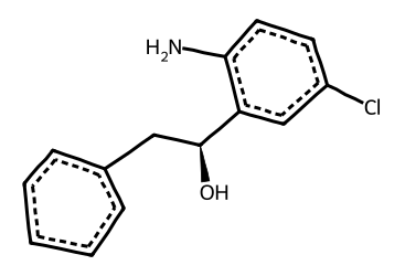 Nc1ccc(Cl)cc1[C@@H](O)Cc1ccccc1